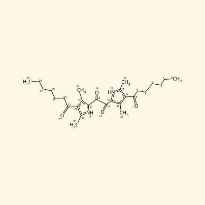 CCCCCCC(=O)c1c(C)[nH]c(C(=O)C(=O)c2[nH]c(C)c(C(=O)CCCCCC)c2C)c1C